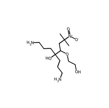 CC(C)(CC(OCCO)C(O)(CCCN)CCCN)[N+](=O)[O-]